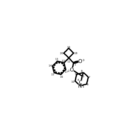 O=C(OC1CN2CCC1CC2)C1(c2ccccc2)CCC1